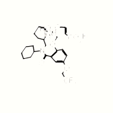 O=C(O)C=CC(=O)O.O=C(c1cc(OCC(F)(F)F)ccc1OCC(F)(F)F)N(CC1CCCCN1)C1CCCCC1